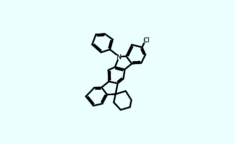 Clc1ccc2c3cc4c(cc3n(-c3ccccc3)c2c1)-c1ccccc1C41CCCCC1